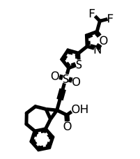 O=C(O)C1(C#CS(=O)(=O)c2ccc(-c3cc(C(F)F)on3)s2)C2CCCc3ccccc3C21